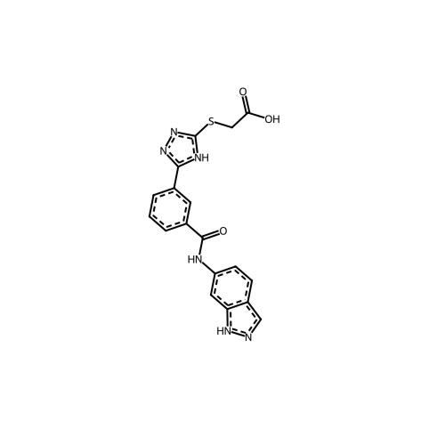 O=C(O)CSc1nnc(-c2cccc(C(=O)Nc3ccc4cn[nH]c4c3)c2)[nH]1